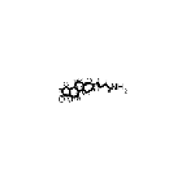 C[C@]12CC[C@H](C=CCCN)C=C1CCC1C2CC[C@]2(C)C(=O)CCC12